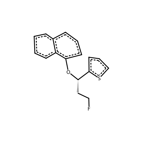 FCC[C@H](Oc1cccc2ccccc12)c1cccs1